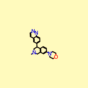 CN1Cc2cc(N3CCOCC3)ccc2C(c2ccc3nnccc3c2)C1